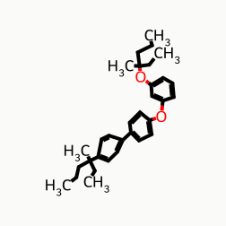 CCCC(C)(CC)Oc1cccc(Oc2ccc(-c3ccc(C(C)(CC)CCC)cc3)cc2)c1